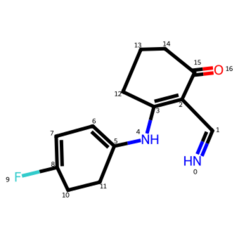 N=CC1=C(NC2=CC=C(F)CC2)CCCC1=O